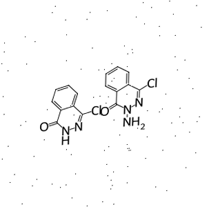 Nn1nc(Cl)c2ccccc2c1=O.O=c1[nH]nc(Cl)c2ccccc12